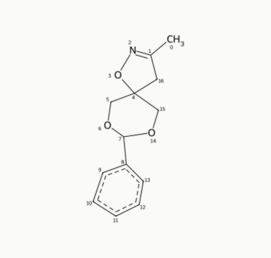 CC1=NOC2(COC(c3ccccc3)OC2)C1